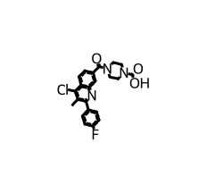 Cc1c(-c2ccc(F)cc2)nc2cc(C(=O)N3CCN(C(=O)O)CC3)ccc2c1Cl